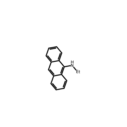 CCNc1c2ccccc2cc2ccccc12